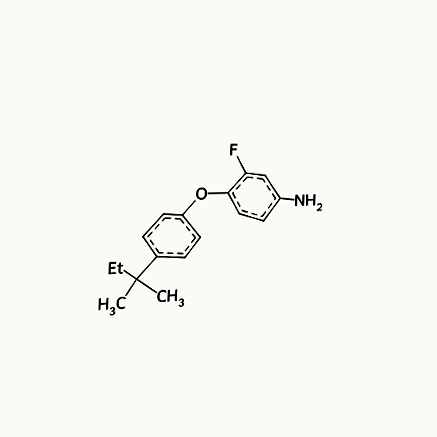 CCC(C)(C)c1ccc(Oc2ccc(N)cc2F)cc1